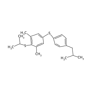 Cc1cc(Sc2ccc(CC(C)C)cc2)cc(C)c1SC(C)C